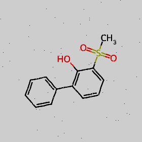 CS(=O)(=O)c1cccc(-c2ccccc2)c1O